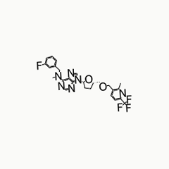 Cc1nc(C(F)(F)F)ccc1COC[C@@H]1CC[C@H](n2cnc3c(N(C)Cc4cccc(F)c4)ncnc32)O1